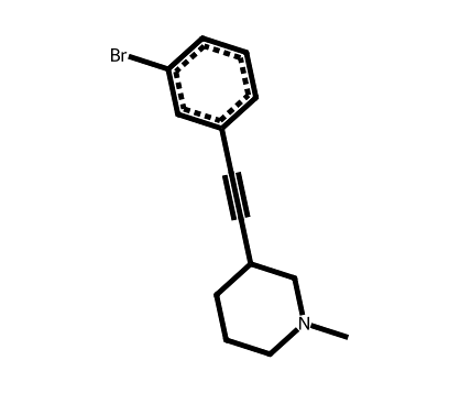 CN1CCCC(C#Cc2cccc(Br)c2)C1